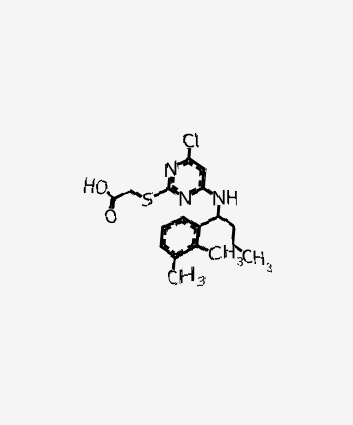 CCCC(Nc1cc(Cl)nc(SCC(=O)O)n1)c1cccc(C)c1C